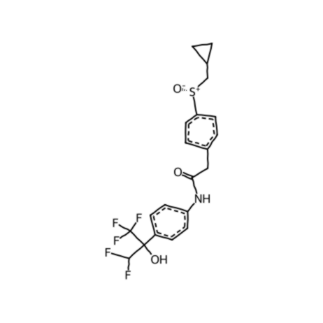 O=C(Cc1ccc([S@+]([O-])CC2CC2)cc1)Nc1ccc(C(O)(C(F)F)C(F)(F)F)cc1